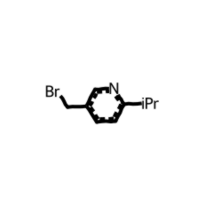 CC(C)c1ccc(CBr)cn1